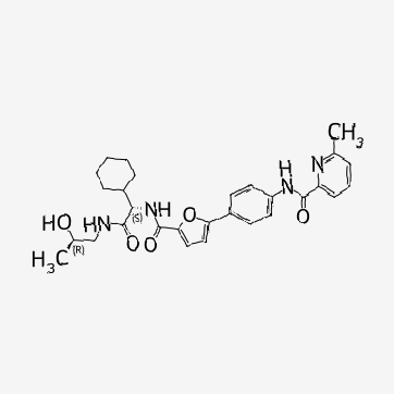 Cc1cccc(C(=O)Nc2ccc(-c3ccc(C(=O)N[C@H](C(=O)NC[C@@H](C)O)C4CCCCC4)o3)cc2)n1